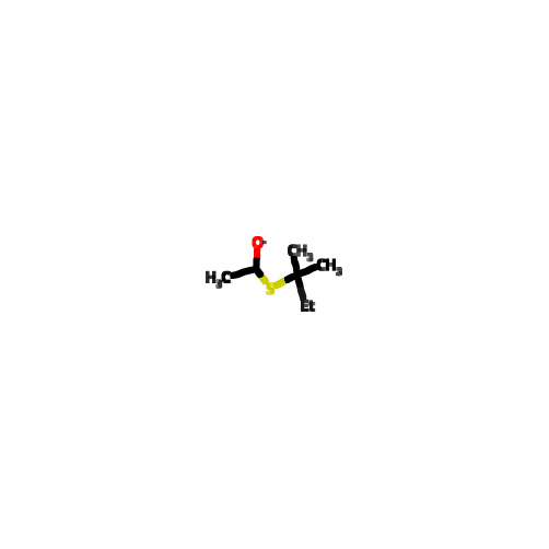 CCC(C)(C)SC(C)[O]